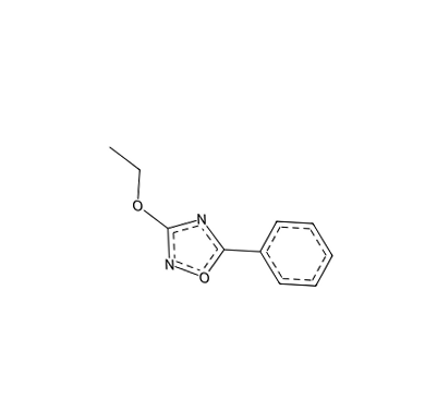 CCOc1noc(-c2ccccc2)n1